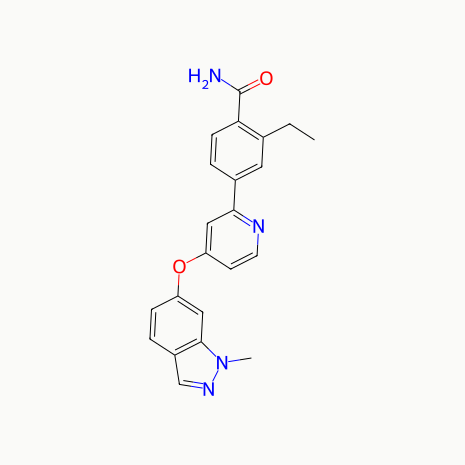 CCc1cc(-c2cc(Oc3ccc4cnn(C)c4c3)ccn2)ccc1C(N)=O